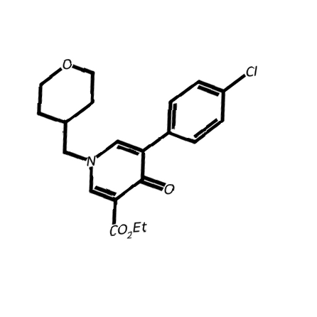 CCOC(=O)c1cn(CC2CCOCC2)cc(-c2ccc(Cl)cc2)c1=O